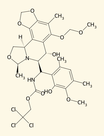 COCOc1c(C)c2c(c3c1[C@H](O)[C@@H](C(NC(=O)OCC(Cl)(Cl)Cl)c1c(C)cc(C)c(OC)c1O)N1[C@@H](C)OC[C@@H]31)OCO2